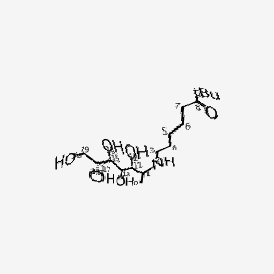 CC(NCCCCCC(=O)C(C)(C)C)[C@H](O)[C@@H](O)[C@H](O)[C@H](O)CO